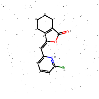 O=C1OC(=Cc2cccc(Br)n2)C2=C1CCCC2